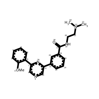 COc1ccccc1-c1cncc(-c2cccc(C(=O)NCCN(C)C)c2)n1